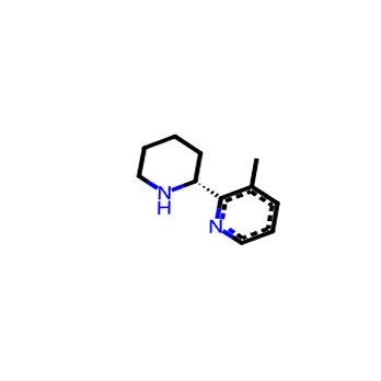 Cc1cccnc1[C@H]1CCCCN1